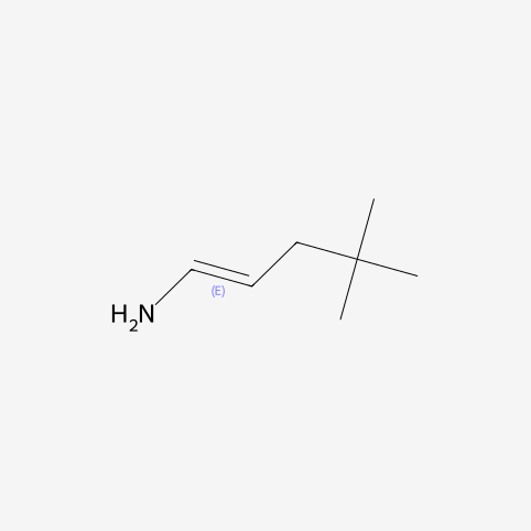 CC(C)(C)C/C=C/N